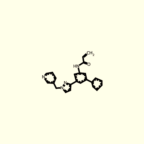 C=CC(=O)Nc1cc(-c2ccccc2)cc(-c2ccn(Cc3cccnc3)n2)c1